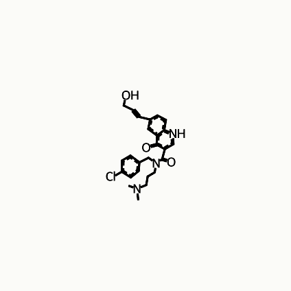 CN(C)CCCN(Cc1ccc(Cl)cc1)C(=O)c1c[nH]c2ccc(C#CCO)cc2c1=O